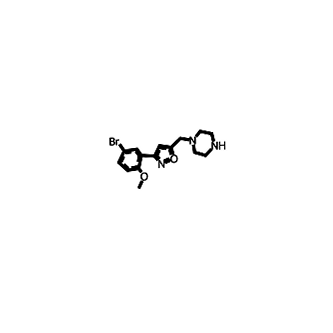 COc1ccc(Br)cc1-c1cc(CN2CCNCC2)on1